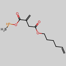 BPOC(=O)C(=C)CC(=O)OCCCCC=C